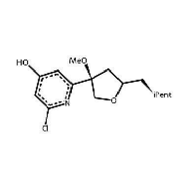 CCC[C@H](C)CC1C[C@@](OC)(c2cc(O)cc(Cl)n2)CO1